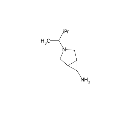 CC(C)C(C)N1CC2C(N)C2C1